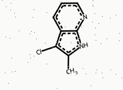 Cc1[nH]c2nc[c]cc2c1Cl